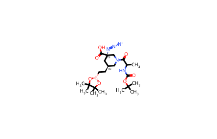 CC(NC(=O)OC(C)(C)C)C(=O)N1C[C@@H](CCB2OC(C)(C)C(C)(C)O2)C[C@@](N=[N+]=[N-])(C(=O)O)C1